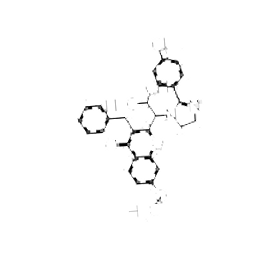 COc1ccc2c(=O)c(Cc3ccccc3)c(C(C(C)C)N3CCN=C3c3ccc(C)cc3)oc2c1